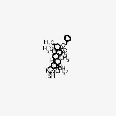 C[C@@H]1[C@H]2C3=CC[C@H]4[C@]5(C)Cc6cnc(S)nc6C(C)(C)[C@H]5CC[C@]4(C)[C@]3(C)CC[C@@]2(C(=O)OCc2ccccc2)CC[C@@H]1C